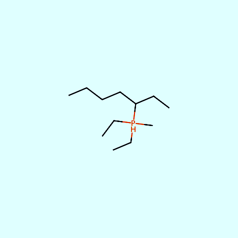 CCCCC(CC)[PH](C)(CC)CC